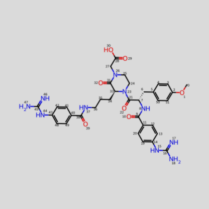 COc1ccc(C[C@H](NC(=O)c2ccc(NC(=N)N)cc2)C(=O)N2CCN(CC(=O)O)C(=O)[C@@H]2CCCNC(=O)c2ccc(NC(=N)N)cc2)cc1